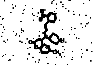 Cc1ccc2oc(=O)cc(N(C/C=C/c3ccccc3[N+](=O)[O-])C3CCNCC3)c2c1